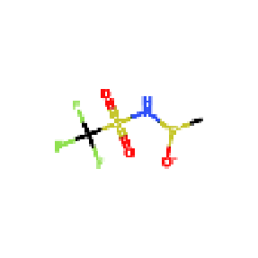 C[S+]([O-])NS(=O)(=O)C(F)(F)F